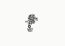 CNC(=S)Nc1ccc(OC2OC3COC(C)(C)OC3C(OC3OC(COC(C)=O)C(OC(C)=O)C(OC(C)=O)C3OC(C)=O)C2O)cc1